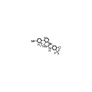 CC(NC(=O)Nc1cc(C(F)(F)F)c(Cl)cc1Br)c1nccnc1-c1ccc(C#N)cn1